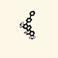 C[n+]1cc2c3c(ccc2c2ccc4c(-c5ccc(-c6ccccc6)cc5)c5c(cc4c21)OCO5)OCO3